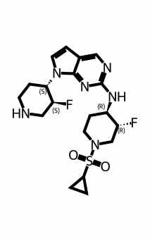 O=S(=O)(C1CC1)N1CC[C@@H](Nc2ncc3ccn([C@H]4CCNC[C@@H]4F)c3n2)[C@H](F)C1